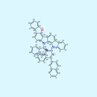 c1ccc2cc(-c3nc(-n4c5ccccc5c5ccc6c7c8oc9ccccc9c8ccc7n(-c7cccc8ccccc78)c6c54)nc4ccccc34)ccc2c1